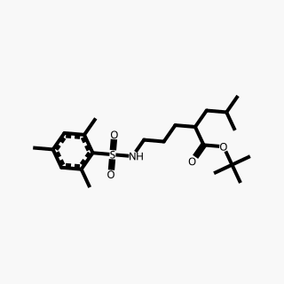 Cc1cc(C)c(S(=O)(=O)NCCCC(CC(C)C)C(=O)OC(C)(C)C)c(C)c1